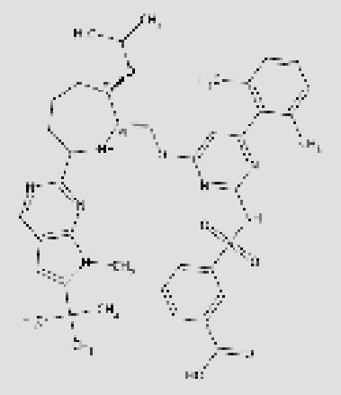 Cc1cccc(C)c1-c1cc(OC[C@@H]2NC(c3ncc4cc(C(C)(C)C)n(C)c4n3)CCC[C@H]2OC(C)C)nc(NS(=O)(=O)c2cccc(C(=O)O)c2)n1